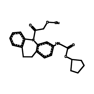 CC(C)(C)OCC(=O)N1c2ccccc2CCc2ccc(NC(=O)OC3CCCC3)cc21